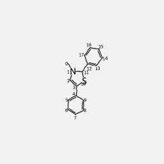 CN1C=C(c2ccccc2)SC1c1ccccc1